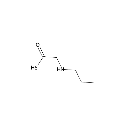 CCCNCC(=O)S